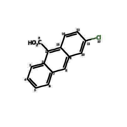 O=C(O)c1c2ccccc2cc2cc(Cl)ccc12